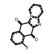 O=C1c2nc3ccccn3c2C(=O)c2cccc(F)c21